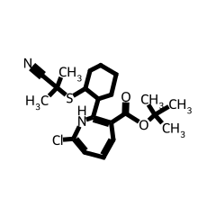 CC(C)(C)OC(=O)C1=C(C2CCCCC2SC(C)(C)C#N)NC(Cl)=CC=C1